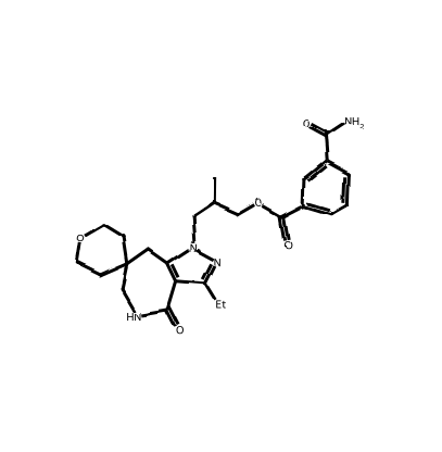 CCc1nn(CC(C)COC(=O)c2cccc(C(N)=O)c2)c2c1C(=O)NCC1(CCOCC1)C2